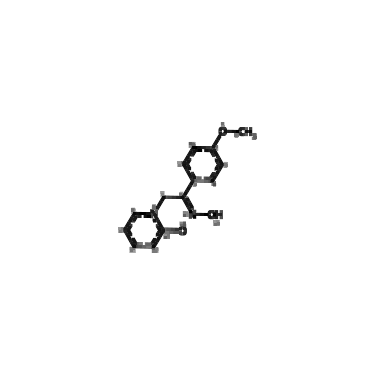 COc1ccc(C(Cn2ccccc2=O)=NO)cc1